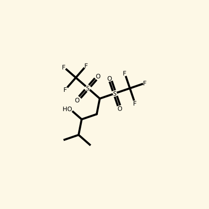 CC(C)C(O)CC(S(=O)(=O)C(F)(F)F)S(=O)(=O)C(F)(F)F